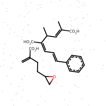 C=C(CCC1CO1)C(=O)O.CC(=CC(C)C(=CC=Cc1ccccc1)C(=O)O)C(=O)O